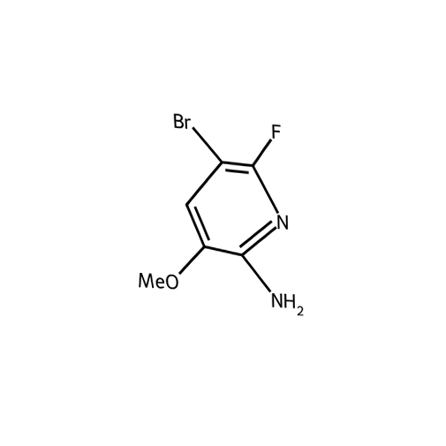 COc1cc(Br)c(F)nc1N